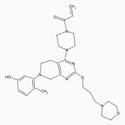 C=CC(=O)N1CCN(c2nc(OCCCN3CCOCC3)nc3c2CCN(c2cc(O)ccc2C)C3)CC1